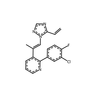 C=Cc1ncnn1/C=C(\C)c1cccnc1-c1ccc(F)c(Cl)c1